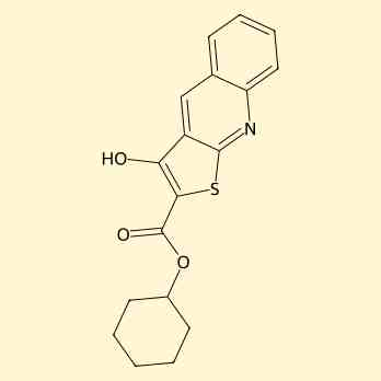 O=C(OC1CCCCC1)c1sc2nc3ccccc3cc2c1O